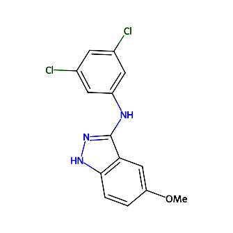 COc1ccc2[nH]nc(Nc3cc(Cl)cc(Cl)c3)c2c1